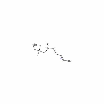 CCC(C)/C=C/CCN(C)CC(C)(C)CC(C)(C)C